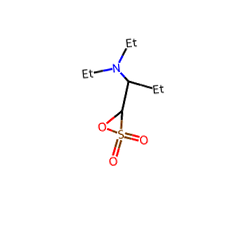 CCC(C1OS1(=O)=O)N(CC)CC